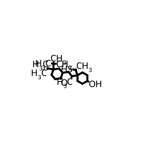 CC(S)C1(C(C)CC2CC(C(C)C)(C(C)(C)C)CCC2=O)CCC(O)CC1